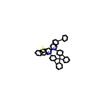 c1ccc(-c2cccc(N(c3ccc4c(c3)C3(c5ccccc5-c5ccc(N(c6ccccc6)c6ccccc6)cc53)c3ccccc3-4)c3ccc4c(c3)sc3ccccc34)c2)cc1